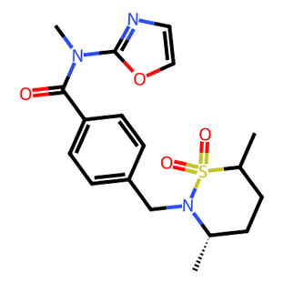 CC1CC[C@H](C)N(Cc2ccc(C(=O)N(C)c3ncco3)cc2)S1(=O)=O